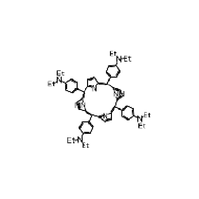 CCN(CC)c1ccc(-c2c3nc(c(-c4ccc(N(CC)CC)cc4)c4ccc([nH]4)c(-c4ccc(N(CC)CC)cc4)c4nc(c(-c5ccc(N(CC)CC)cc5)c5ccc2[nH]5)C=C4)C=C3)cc1